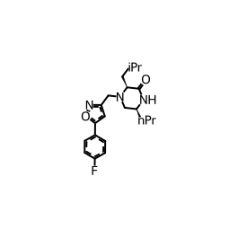 CCC[C@H]1CN(Cc2cc(-c3ccc(F)cc3)on2)[C@@H](CC(C)C)C(=O)N1